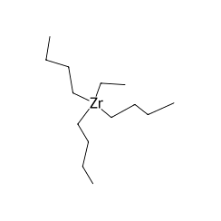 CCC[CH2][Zr]([CH2]C)([CH2]CCC)[CH2]CCC